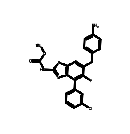 CC(C)(C)OC(=O)Nc1nc2c(-c3cccc(Cl)c3)c(F)c(Cc3ccc(N)cc3)cc2s1